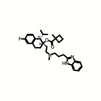 CC(C)[C@H]1c2ccc(F)cc2CC[C@@]1(CCN(C)CCCc1nc2ccccc2[nH]1)OC(=O)C1(C)CCC1